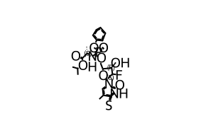 Cc1cn([C@H]2OC(COP(=O)(N[C@@H](C)C(=O)OC(C)C)Oc3ccccc3)[C@@H](O)C2F)c(=O)[nH]c1=S